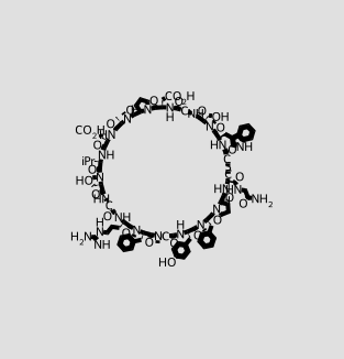 CC(C)[C@@H]1NC(=O)[C@H](CC(=O)O)NC(=O)[C@H](C)N(C)C(=O)[C@@H]2CCCN2C(=O)[C@H](CC(=O)O)NC(=O)CNC(=O)[C@H](CO)N(C)C(=O)[C@@H](Cc2c[nH]c3ccccc23)NC(=O)CSC[C@@H](C(=O)NCC(N)=O)NC(=O)[C@@H]2CCCN2C(=O)[C@H](Cc2ccccc2)N(C)C(=O)[C@H](Cc2ccc(O)cc2)NC(=O)CN(C)C(=O)[C@H](Cc2ccccc2)N(C)C(=O)[C@H](CCCNC(=N)N)NC(=O)CNC(=O)[C@H](CO)N(C)C1=O